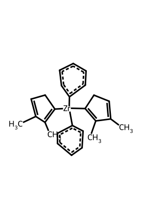 CC1=CC[C]([Zr]([C]2=C(C)C(C)=CC2)([c]2ccccc2)[c]2ccccc2)=C1C